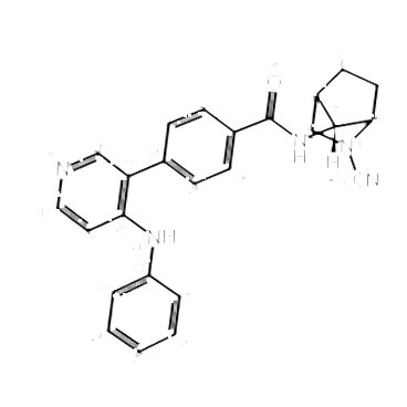 N#CN1CC2CCC1[C@@H]2NC(=O)c1ccc(-c2cnccc2Nc2ccccc2)cc1